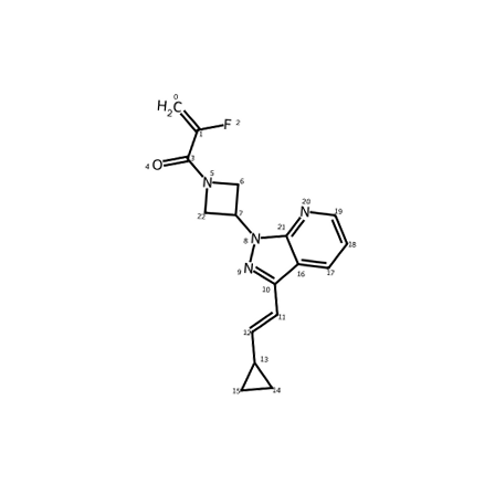 C=C(F)C(=O)N1CC(n2nc(/C=C/C3CC3)c3cccnc32)C1